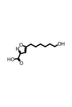 O=C(O)c1cc(CCCCCCO)on1